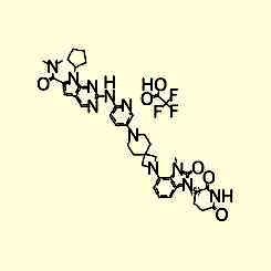 CN(C)C(=O)c1cc2cnc(Nc3ccc(N4CCC5(CC4)CN(c4cccc6c4n(C)c(=O)n6[C@H]4CCC(=O)NC4=O)C5)cn3)nc2n1C1CCCC1.O=C(O)C(F)(F)F